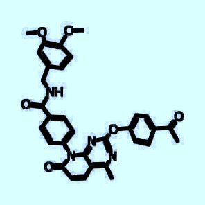 COc1ccc(CNC(=O)c2ccc(-n3c(=O)ccc4c(C)nc(Oc5ccc(C(C)=O)cc5)nc43)cc2)cc1OC